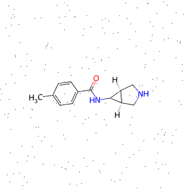 Cc1ccc(C(=O)NC2[C@H]3CNC[C@@H]23)cc1